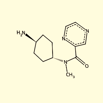 CN(C(=O)c1cnccn1)[C@H]1CC[C@H](N)CC1